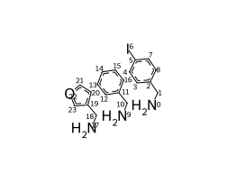 NCc1ccc(I)cc1.NCc1ccccc1.NCc1ccoc1